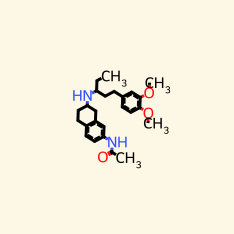 CCC(CCc1ccc(OC)c(OC)c1)NC1CCc2ccc(NC(C)=O)cc2C1